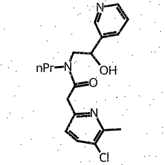 CCCN(CC(O)c1cccnc1)C(=O)Cc1ccc(Cl)c(C)n1